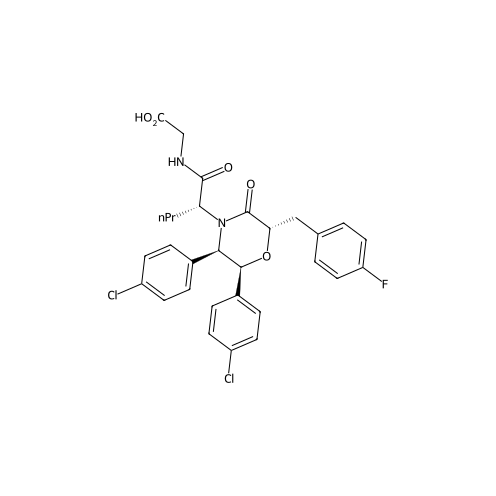 CCC[C@H](C(=O)NCC(=O)O)N1C(=O)[C@H](Cc2ccc(F)cc2)O[C@@H](c2ccc(Cl)cc2)[C@H]1c1ccc(Cl)cc1